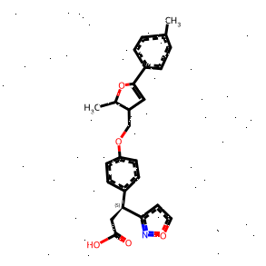 Cc1ccc(C2=CC(COc3ccc([C@H](CC(=O)O)c4ccon4)cc3)C(C)O2)cc1